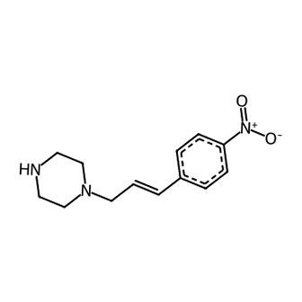 O=[N+]([O-])c1ccc(C=CCN2CCNCC2)cc1